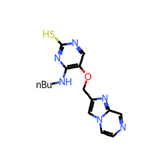 CCCCNc1nc(S)ncc1OCc1cn2ccncc2n1